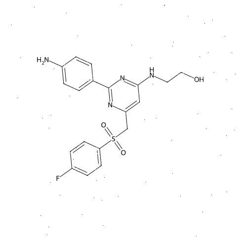 Nc1ccc(-c2nc(CS(=O)(=O)c3ccc(F)cc3)cc(NCCO)n2)cc1